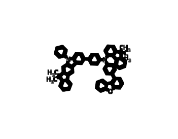 CC1(C)c2ccccc2-c2cc3c4cc(-c5ccc(N(c6ccc(-c7cccc8oc9ccccc9c78)cc6)c6cccc7c6-c6ccccc6C7(C)C)cc5)ccc4n(-c4ccccc4)c3cc21